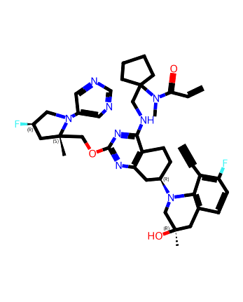 C#Cc1c(F)ccc2c1N([C@@H]1CCc3c(nc(OC[C@]4(C)C[C@@H](F)CN4c4cncnc4)nc3NCC3(N(C)C(=O)C=C)CCCC3)C1)C[C@](C)(O)C2